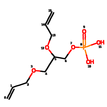 C=CCOCC(COP(=O)(O)O)OCC=C